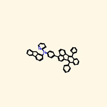 c1ccc(-c2c3c(c(-c4ccccc4)c4ccccc24)-c2ccc(-c4ccc(N(c5ccccn5)c5cccc6c5Cc5ccccc5-6)cc4)c4cccc-3c24)cc1